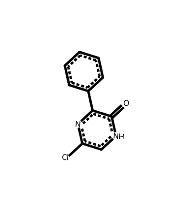 O=c1[nH]cc(Cl)nc1-c1ccccc1